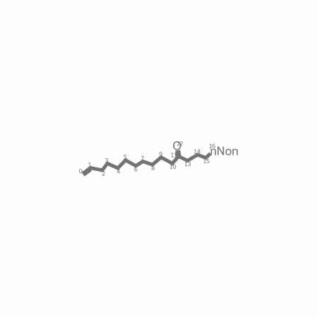 C=CCCCCCCCCCC(=O)CCCCCCCCCCCC